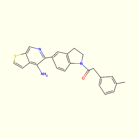 Cc1cccc(CC(=O)N2CCc3cc(-c4ncc5sccc5c4N)ccc32)c1